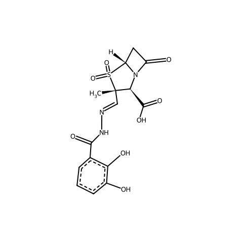 C[C@]1(/C=N/NC(=O)c2cccc(O)c2O)[C@H](C(=O)O)N2C(=O)C[C@H]2S1(=O)=O